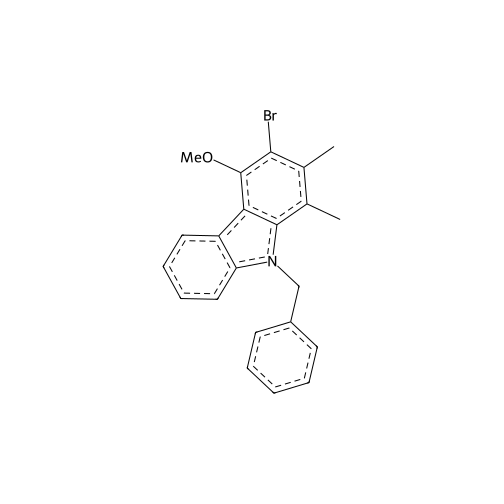 COc1c(Br)c(C)c(C)c2c1c1ccccc1n2Cc1ccccc1